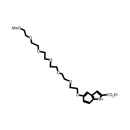 CCOC(=O)c1cc2cc(OCCOCCOCCOCCOCCOCCOC)ccc2[nH]1